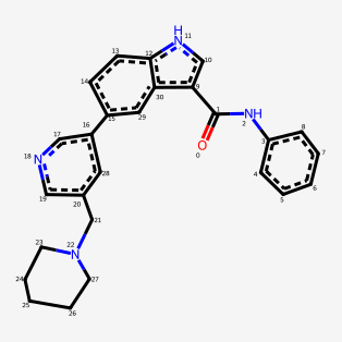 O=C(Nc1ccccc1)c1c[nH]c2ccc(-c3cncc(CN4CCCCC4)c3)cc12